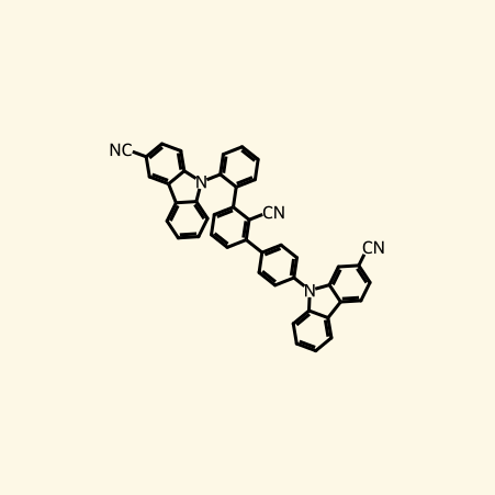 N#Cc1ccc2c(c1)c1ccccc1n2-c1ccccc1-c1cccc(-c2ccc(-n3c4ccccc4c4ccc(C#N)cc43)cc2)c1C#N